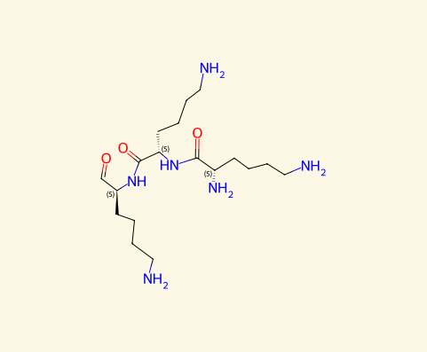 NCCCC[C@@H](C=O)NC(=O)[C@H](CCCCN)NC(=O)[C@@H](N)CCCCN